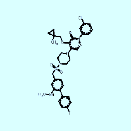 CNc1cc(CS(=O)(=O)N2CCN(c3cnn(-c4cccc(Cl)c4)c(=O)c3OCC3(C)CC3)CC2)ccc1-c1ccc(F)cc1